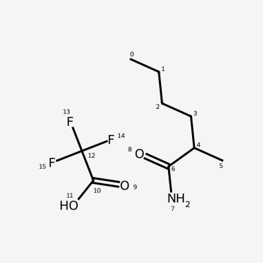 CCCCC(C)C(N)=O.O=C(O)C(F)(F)F